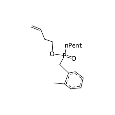 C=CCCOP(=O)(CCCCC)Cc1ccccc1C